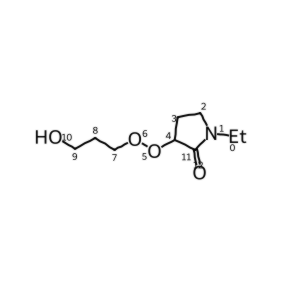 CCN1CCC(OOCCCO)C1=O